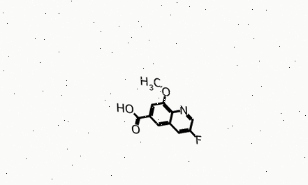 COc1cc(C(=O)O)cc2cc(F)cnc12